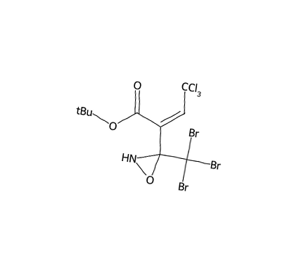 CC(C)(C)OC(=O)C(=CC(Cl)(Cl)Cl)C1(C(Br)(Br)Br)NO1